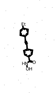 CCc1ccc(C#Cc2ccc(C(=O)NO)cc2)cc1